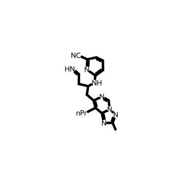 CCCc1c(CC(CC=N)Nc2cccc(C#N)n2)ncn2nc(C)nc12